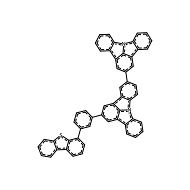 c1cc(-c2cc3c4ccccc4n4c5ccc(-c6cc7c8ccccc8n8c9ccccc9c(c6)c78)cc5c(c2)c34)cc(-c2cccc3c2sc2ccccc23)c1